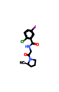 N#C[C@@H]1CCCN1C(=O)CNC(=O)c1cc(I)ccc1Cl